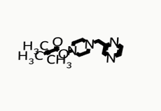 CC(C)(C)C(=O)ON1CCN(Cc2cnccn2)CC1